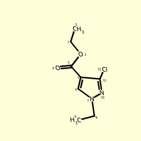 CCOC(=O)c1cn(CC)nc1Cl